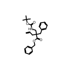 C=CCC(CNC(=O)OC(C)(C)C)(Cc1ccccc1)C(=O)OCc1ccccc1